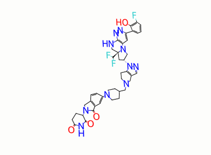 O=C1CC[C@H](N2Cc3ccc(N4CCC(CN5CCc6c(cnn6[C@H]6CN7c8cc(-c9cccc(F)c9O)nnc8NC[C@@]7(C(F)F)C6)C5)CC4)cc3C2=O)C(=O)N1